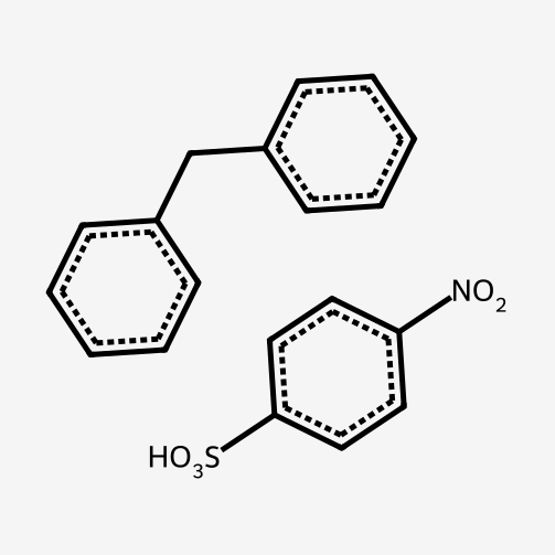 O=[N+]([O-])c1ccc(S(=O)(=O)O)cc1.c1ccc(Cc2ccccc2)cc1